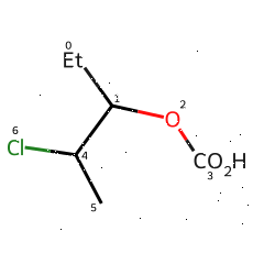 CCC(OC(=O)O)C(C)Cl